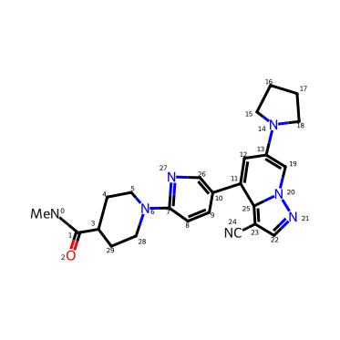 CNC(=O)C1CCN(c2ccc(-c3cc(N4CCCC4)cn4ncc(C#N)c34)cn2)CC1